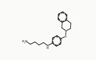 NCCCCNc1ccc(SN2CCc3ccccc3C2)cc1